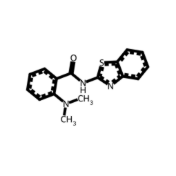 CN(C)c1ccccc1C(=O)Nc1nc2ccccc2s1